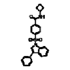 O=C(NC1CCC1)c1ccc(S(=O)(=O)n2cc(-c3ccccc3)c3ccccc32)cc1